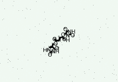 O=C1NC(=O)C(OC(=O)/C=C/C(=O)OCc2c[nH]c(=O)[nH]c2=O)N1